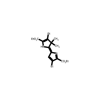 CCOC(=O)C1=NC(=C2NC(C(=O)OCC)=C(CC)C2(C)C)C=C1CC